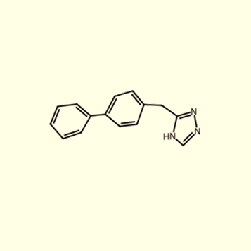 c1ccc(-c2ccc(Cc3nnc[nH]3)cc2)cc1